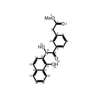 COC(=O)Cc1cccc(C(=O)N(O)c2ccc3ccccc3c2O)c1